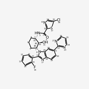 O=C(N[C@H]1CCC[C@@H](n2c(-c3ccccc3F)nc3ccc(-c4ncccn4)cc32)[C@@H]1O)c1ncc(Cl)s1